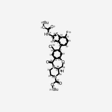 CC(C)(C)OC(=O)Nc1nc2c(-c3cc4c(cc3Cl)C(=O)N3CCN(C(=O)OC(C)(C)C)C[C@@H]3CO4)ccc(F)c2s1